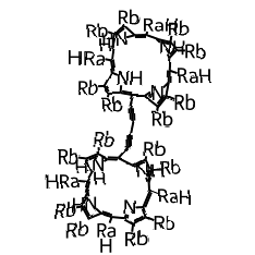 [Rb][C]1=[C]([Rb])/C2=[C](\[RaH])c3[nH]c([c]([Rb])[c]3[Rb])/C(C#CC#C/C3=c4/[nH]/c([c]([Rb])[c]4[Rb])=[C](/[RaH])[C@@H]4N/C(=[C](/[RaH])c5[nH]c([c]([Rb])[c]5[Rb])/[C]([RaH])=C5N=C3[C]([Rb])=[C]\5[Rb])[C]([Rb])=[C]4[Rb])=C3\N[C@H]([C]([Rb])=[C]3[Rb])/[C]([RaH])=c3\[nH]/c([c]([Rb])[c]3[Rb])=[C](/[RaH])C1=N2